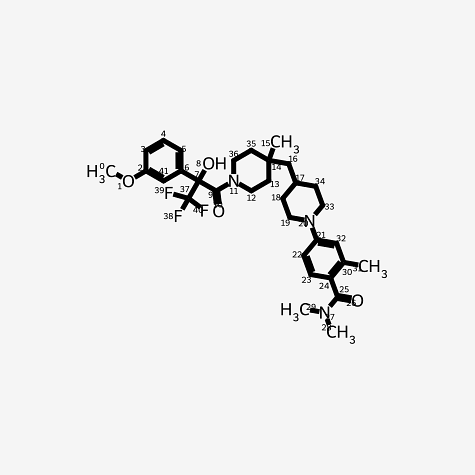 COc1cccc(C(O)(C(=O)N2CCC(C)(CC3CCN(c4ccc(C(=O)N(C)C)c(C)c4)CC3)CC2)C(F)(F)F)c1